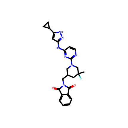 CC1(F)CC(CN2C(=O)c3ccccc3C2=O)CN(c2nccc(Nc3cc(C4CC4)[nH]n3)n2)C1